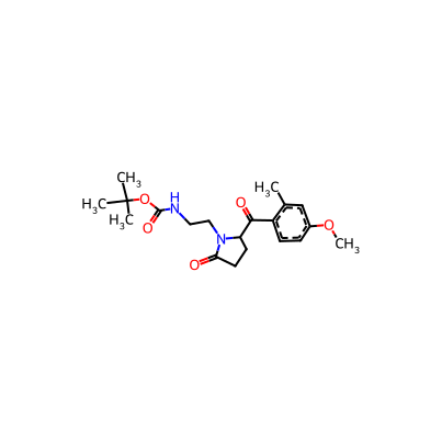 COc1ccc(C(=O)C2CCC(=O)N2CCNC(=O)OC(C)(C)C)c(C)c1